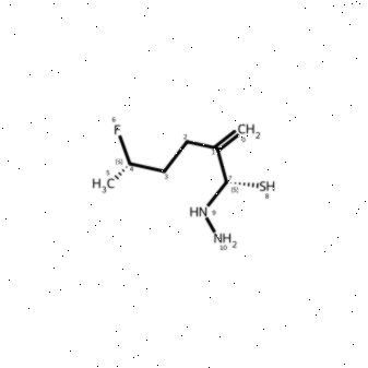 C=C(CC[C@H](C)F)[C@H](S)NN